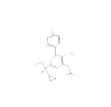 CCOc1c(CC(N)=O)cc([C@@](O)(CN)C2CC2)nc1-c1ccc(Cl)cc1F